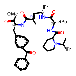 COC(=O)[C@H](Cc1ccc(C(=O)c2ccccc2)cc1)NC(=O)/C(C)=C/[C@@H](NC(=O)[C@@H](NC(=O)C1CCCCN1C(C)C(C)C)C(C)(C)C)C(C)C